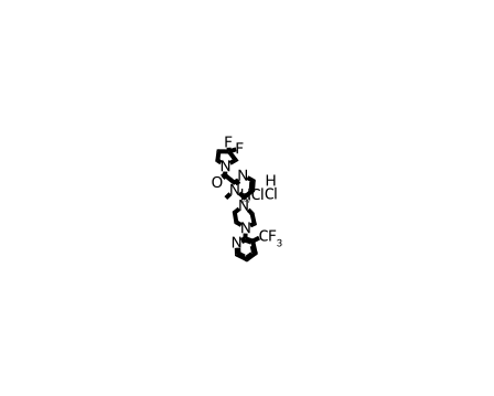 CN1C(C(=O)N2CCC(F)(F)C2)=NC=C[C@H]1N1CCN(c2ncccc2C(F)(F)F)CC1.Cl.Cl